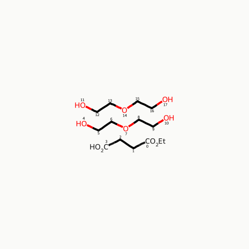 CCOC(=O)CCC(=O)O.OCCOCCO.OCCOCCO